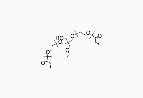 C=CC(=O)C(C)(C)OCCC(C)(C)OCC(CO)(COCC)COC(C)(C)CCOC(C)(C)C(=O)C=C